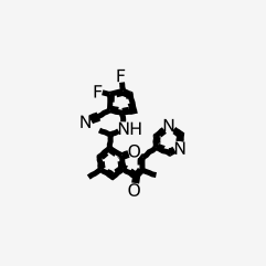 Cc1cc(C(C)Nc2ccc(F)c(F)c2C#N)c2oc(-c3cncnc3)c(C)c(=O)c2c1